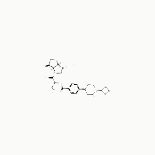 CO[C@@H]1CN(C(=O)C(CC(C)(C)C)NC(=O)c2ccc(C3CCN(C4CCC4)CC3)cc2)[C@@H]2C(=O)CO[C@@H]21